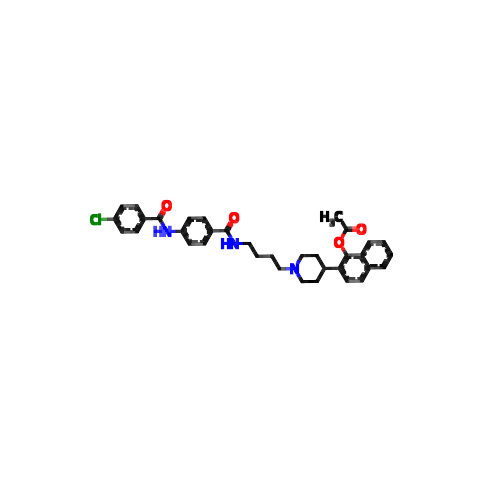 CC(=O)Oc1c(C2CCN(CCCCNC(=O)c3ccc(NC(=O)c4ccc(Cl)cc4)cc3)CC2)ccc2ccccc12